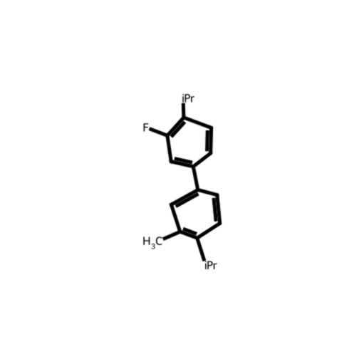 Cc1cc(-c2ccc(C(C)C)c(F)c2)ccc1C(C)C